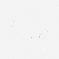 COc1ccc2ncc(F)c([C@@H](O)CCC3(C(=O)O)CCN(CCSc4cc(F)cc(F)c4F)CC3)c2c1